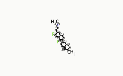 C/C=C/CCc1cc2ccc([C@@H]3CC[C@@H]4CC(C)CCC4C3)c(F)c2cc1F